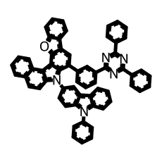 c1ccc(-c2nc(-c3ccccc3)nc(-c3cccc(-c4cc5c6ccccc6oc5c5c6c7ccccc7ccc6n(-c6ccc7c(c6)c6ccccc6n7-c6ccccc6)c45)c3)n2)cc1